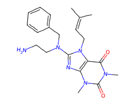 CC(C)=CCn1c(N(CCN)Cc2ccccc2)nc2c1c(=O)n(C)c(=O)n2C